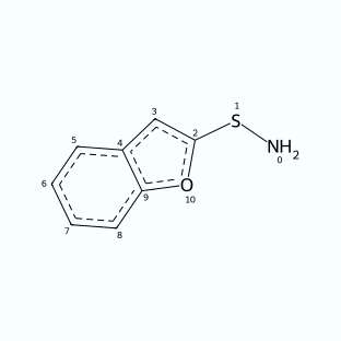 NSc1cc2ccccc2o1